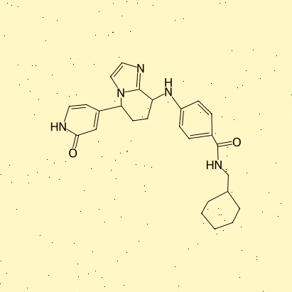 O=C(NCC1CCCCC1)c1ccc(NC2CCC(c3cc[nH]c(=O)c3)n3ccnc32)cc1